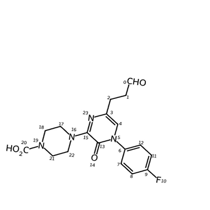 O=CCCc1cn(-c2ccc(F)cc2)c(=O)c(N2CCN(C(=O)O)CC2)n1